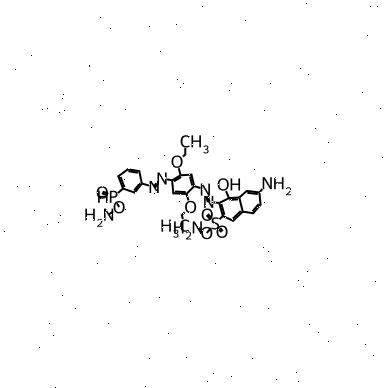 CCOc1cc(N=Nc2c(S(=O)(=O)ON)cc3ccc(N)cc3c2O)c(OCC)cc1N=Nc1cccc([PH](=O)ON)c1